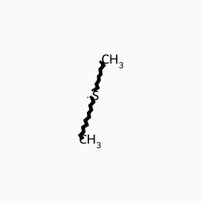 CCCCCCCCCCC[CH]SCCCCCCCCCC